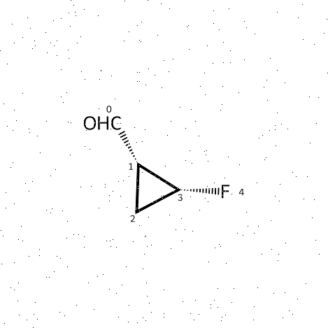 O=C[C@H]1C[C@H]1F